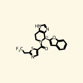 O=C(c1cnc(CC(F)(F)F)s1)N1CCc2[nH]cnc2[C@H]1c1cc2ccccc2o1